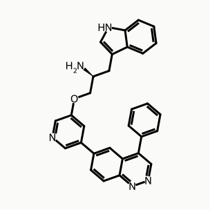 N[C@H](COc1cncc(-c2ccc3nncc(-c4ccccc4)c3c2)c1)Cc1c[nH]c2ccccc12